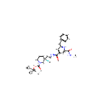 CNC(=O)c1cc(C(=O)NCCC2(F)CCCN(C(=O)OC(C)(C)C)C2)cc(Cc2ccccc2)n1